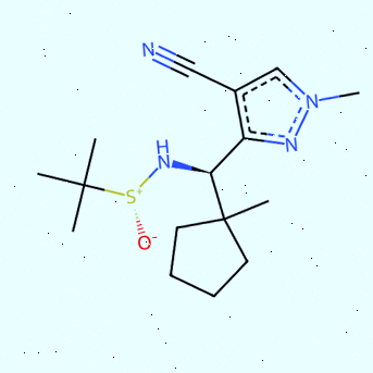 Cn1cc(C#N)c([C@H](N[S@+]([O-])C(C)(C)C)C2(C)CCCC2)n1